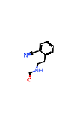 N#Cc1ccccc1CCN[C]=O